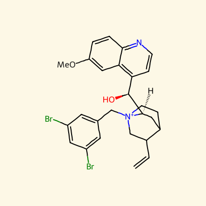 C=CC1C[N+]2(Cc3cc(Br)cc(Br)c3)CCC1C[C@@H]2[C@@H](O)c1ccnc2ccc(OC)cc12